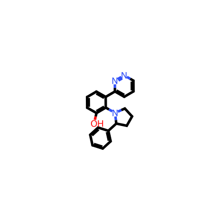 Oc1cccc(-c2cccnn2)c1N1CCCC1c1ccccc1